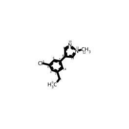 CCc1cc(Cl)cc(-c2cnn(C)c2)c1